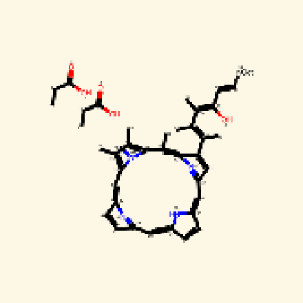 CCC(=O)O.CCC(=O)O.CCCCCCCCC=CC(O)=C(C)C(C)=C(C)C1=Cc2cc3ccc(cc4nc(cc5c(C)c(C)c(c(C)c1n2)n5C)C=C4)[nH]3